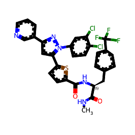 CNC(=O)[C@H](Cc1ccc(C(F)(F)F)cc1)NC(=O)c1ccc(-c2cc(-c3cccnc3)nn2-c2ccc(Cl)c(Cl)c2)s1